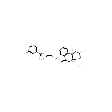 C[C@@H]1C[C@@H]2c3cccc4c3c(cn4OCc3nnc(-c4cncc(Br)c4)o3)C[C@H]2N(C)C1